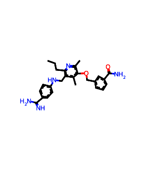 CCCc1nc(C)c(OCc2cccc(C(N)=O)c2)c(C)c1CNc1ccc(C(=N)N)cc1